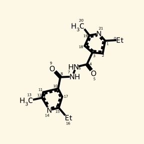 CCc1cc(C(=O)NNC(=O)c2cc(C)nc(CC)c2)cc(C)n1